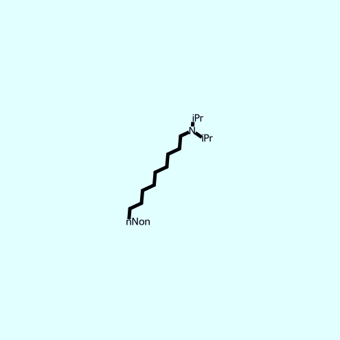 CCCCCCCCCCCCCCCCCCN(C(C)C)C(C)C